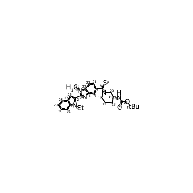 CCn1c(-c2nc3cc(C(=S)N4CCC[C@@H](NC(=O)OC(C)(C)C)C4)ccc3n2C)cc2ccccc21